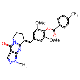 COc1cc(/C=C2\CCCn3c2nc2c(cnn2C)c3=O)cc(OC)c1OC(=O)c1ccc(C(F)(F)F)cc1